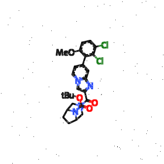 COc1ccc(Cl)c(Cl)c1-c1ccn2cc(C(=O)N3CC4CCC(C3)N4C(=O)OC(C)(C)C)nc2c1